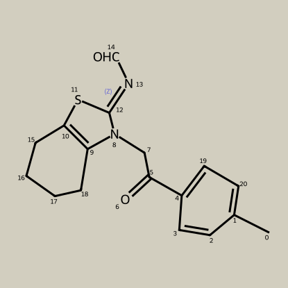 Cc1ccc(C(=O)Cn2c3c(s/c2=N\C=O)CCCC3)cc1